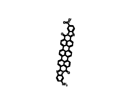 Nc1ccc2nc3c4ccc5c6ccc7c8ccc9c(=O)n%10c%11cc([N+](=O)[O-])ccc%11nc%10c%10ccc(c%11ccc(c%12ccc(c(=O)n3c2c1)c4c5%12)c6c7%11)c8c9%10